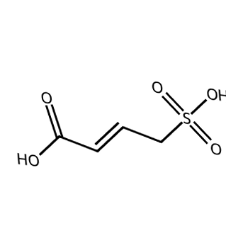 O=C(O)C=CCS(=O)(=O)O